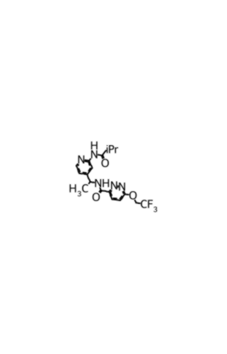 CC(C)C(=O)Nc1cc(C(C)NC(=O)c2ccc(OCC(F)(F)F)nn2)ccn1